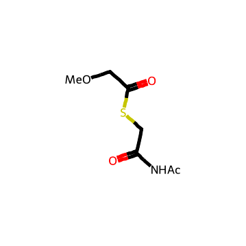 COCC(=O)SCC(=O)NC(C)=O